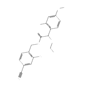 CCOC(C(=O)NCc1ccc(C#N)cc1N)c1ccc(OC)cc1F